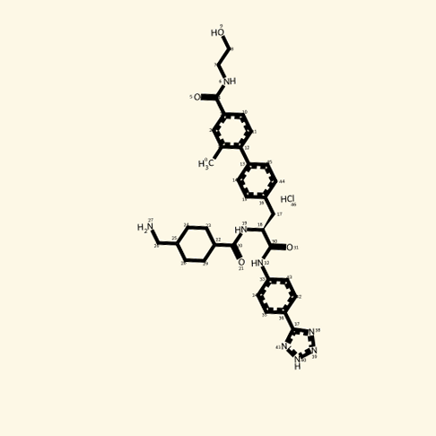 Cc1cc(C(=O)NCCO)ccc1-c1ccc(C[C@H](NC(=O)C2CCC(CN)CC2)C(=O)Nc2ccc(-c3nn[nH]n3)cc2)cc1.Cl